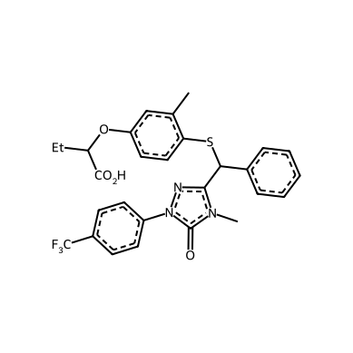 CCC(Oc1ccc(SC(c2ccccc2)c2nn(-c3ccc(C(F)(F)F)cc3)c(=O)n2C)c(C)c1)C(=O)O